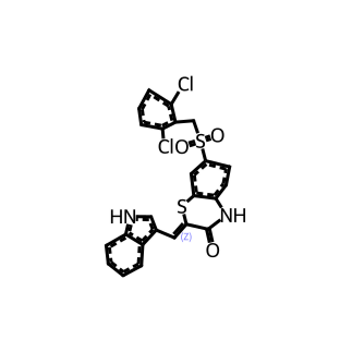 O=C1Nc2ccc(S(=O)(=O)Cc3c(Cl)cccc3Cl)cc2S/C1=C\c1c[nH]c2ccccc12